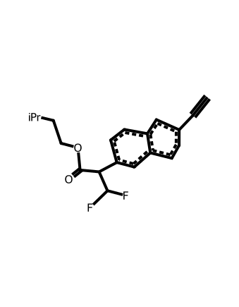 C#Cc1ccc2cc(C(C(=O)OCCC(C)C)C(F)F)ccc2c1